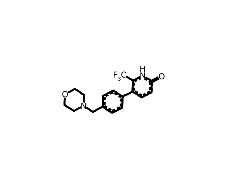 O=c1ccc(-c2ccc(CN3CCOCC3)cc2)c(C(F)(F)F)[nH]1